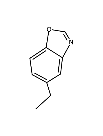 CCc1ccc2o[c]nc2c1